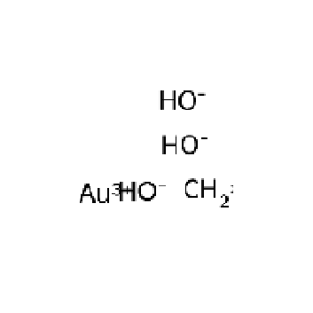 [Au+3].[CH2].[OH-].[OH-].[OH-]